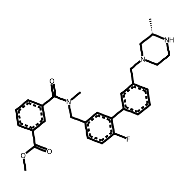 COC(=O)c1cccc(C(=O)N(C)Cc2ccc(F)c(-c3cccc(CN4CCN[C@@H](C)C4)c3)c2)c1